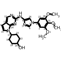 COc1cc(-n2cnc(Nc3ncc4ccn(C5CCC(O)CC5)c4n3)c2)cc(OC)c1OC